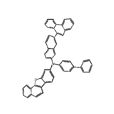 c1ccc(-c2ccc(N(c3ccc4ccc(-c5cc6ccccc6c6ccccc56)cc4c3)c3ccc4c(c3)oc3c5ccccc5ccc43)cc2)cc1